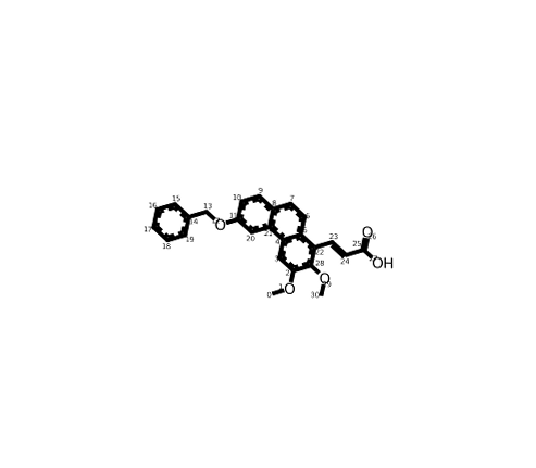 COc1cc2c(ccc3ccc(OCc4ccccc4)cc32)c(/C=C/C(=O)O)c1OC